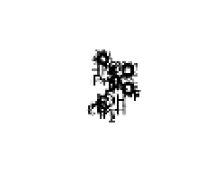 CC(C)OC(CC(=O)O)CC(O)CCn1c(-c2ccc(F)cc2)c(-c2ccccc2)c(C(=O)Nc2ccccc2)c1C(C)C